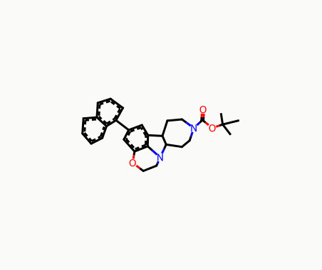 CC(C)(C)OC(=O)N1CCC2c3cc(-c4cccc5ccccc45)cc4c3N(CCO4)C2CC1